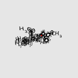 COc1ccc(C(Nc2ncnc3c2ncn3[C@@H]2O[C@H](CO[Si](C)(C)C(C)(C)C)[C@@H](OCOC(C)=O)[C@H]2O)(c2ccccc2)c2ccccc2)cc1